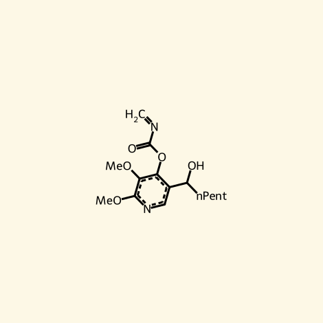 C=NC(=O)Oc1c(C(O)CCCCC)cnc(OC)c1OC